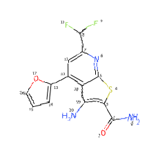 NC(=O)c1sc2nc(C(F)F)cc(-c3ccco3)c2c1N